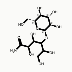 NC(=O)C(O)C(O)C(O[C@H]1O[C@H](CO)[C@@H](O)[C@H](O)[C@H]1O)C(O)CO